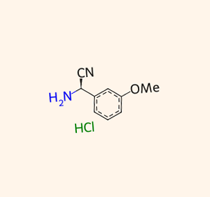 COc1cccc([C@@H](N)C#N)c1.Cl